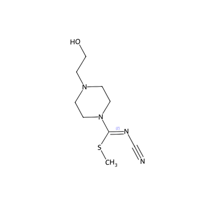 CS/C(=N\C#N)N1CCN(CCO)CC1